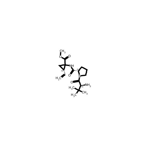 C=C[C@@H]1CC1(NC(=O)[C@@H]1CCCN1C(=O)[C@@H](N)C(C)(C)C)C(=O)OC